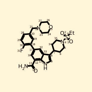 CCS(=O)(=O)N1CCC(c2c[nH]c3c(C(N)=O)cc(-c4cc(CN5CCOCC5)ccc4F)cc23)CC1